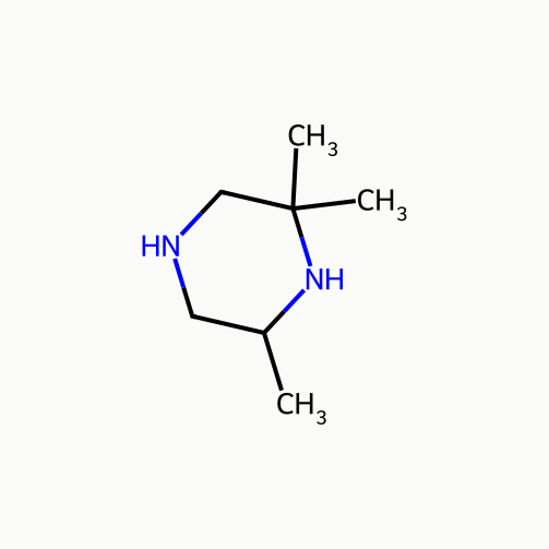 CC1CNCC(C)(C)N1